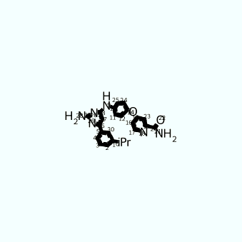 CC(C)c1cccc(-c2cc(Nc3ccc(Oc4ccnc(C(N)=O)c4)cc3)nc(N)n2)c1